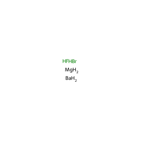 Br.F.[BaH2].[MgH2]